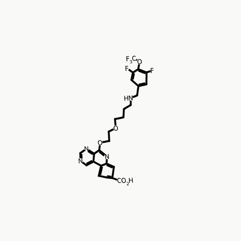 O=C(O)c1ccc2c(c1)nc(OCCOCCCCNCc1cc(F)c(OC(F)(F)F)c(F)c1)c1ncncc12